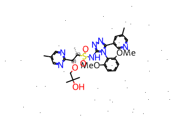 COc1cccc(OC)c1-n1c(NS(=O)(=O)[C@@H](C)[C@H](OCC(C)(C)O)c2ncc(C)cn2)nnc1-c1cncc(C)c1